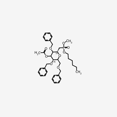 CCCCCCOP(=O)(C[C@H]1OC(COCc2ccccc2)[C@@H](OCc2ccccc2)C(OC(C)=O)C1OCc1ccccc1)OC